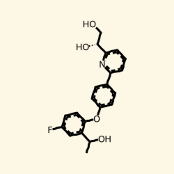 CC(O)c1cc(F)ccc1Oc1ccc(-c2cccc([C@H](O)CO)n2)cc1